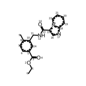 CCOC(=O)c1ccc(C)c(CNC(=O)c2cnc3ccccn23)c1